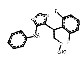 O=COCC(c1ncoc1Nc1ccccc1)c1c(F)cccc1F